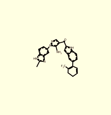 Cc1nc2cc(-n3ncc(C(=O)c4cc5cc(C6=C(C(F)(F)F)CCC=C6)ccc5[nH]4)c3N)ccc2[nH]1